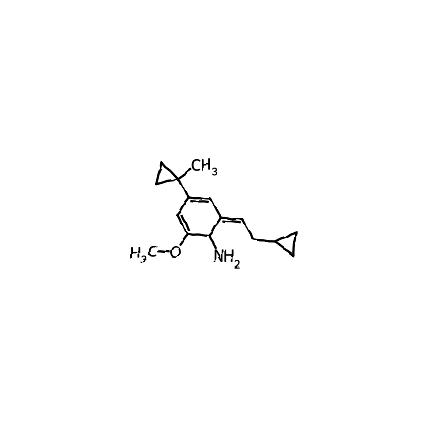 COC1=CC(C2(C)CC2)=C/C(=C/CC2CC2)C1N